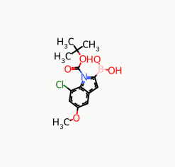 COc1cc(Cl)c2c(c1)cc(B(O)O)n2C(=O)OC(C)(C)C